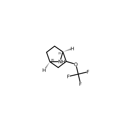 FC(F)(F)OC1C[C@H]2CC[C@@H]1N2